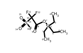 CC[Si](CC)(CC)OC(=O)C(F)(F)S(=O)(=O)F